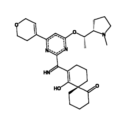 C[C@H](Oc1cc(C2=CCOCC2)nc(C(=N)C2=C(O)[C@]3(CCCCC3=O)CCC2)n1)[C@@H]1CCCN1C